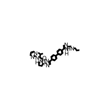 CCCNCc1ncc(-c2ccc(-c3ccc(-c4cnc([C@@H]5CCCN5C(=O)[C@@H](Nc5ncccn5)C(C)C)[nH]4)cc3)cc2)[nH]1